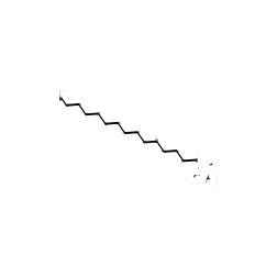 C[Si](C)(Cl)CCCCCCCCCCCCCCI